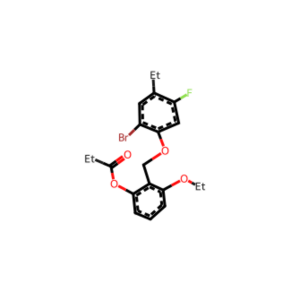 CCOc1cccc(OC(=O)CC)c1COc1cc(F)c(CC)cc1Br